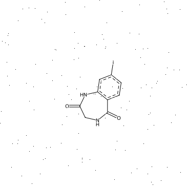 O=C1CNC(=O)c2ccc(I)cc2N1